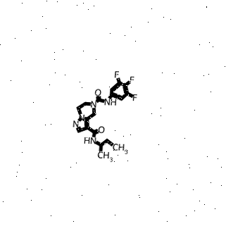 CCC(C)NC(=O)c1cnn2c1CN(C(=O)Nc1cc(F)c(F)c(F)c1)CC2